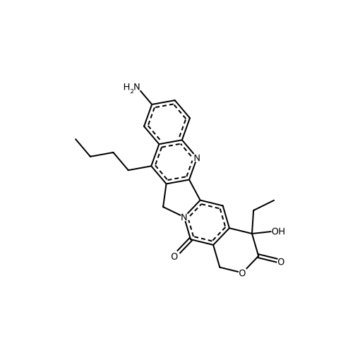 CCCCc1c2c(nc3ccc(N)cc13)-c1cc3c(c(=O)n1C2)COC(=O)C3(O)CC